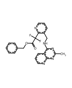 Cc1nc(NCc2cccnc2C(F)(F)C(=O)OCc2ccccc2)c2cccnc2n1